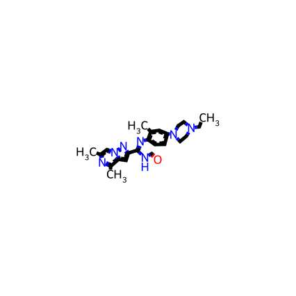 CCN1CCN(c2ccc(/N=C(\NC=O)c3cc4c(C)nc(C)cn4n3)c(C)c2)CC1